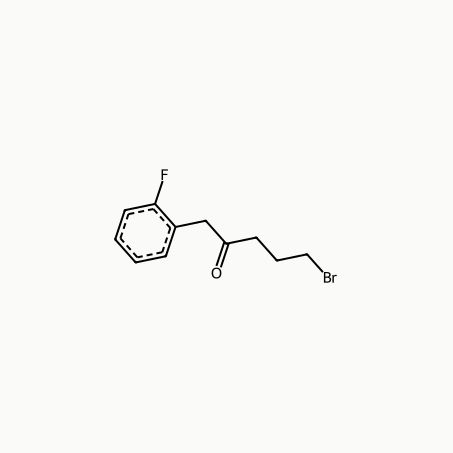 O=C(CCCBr)Cc1ccccc1F